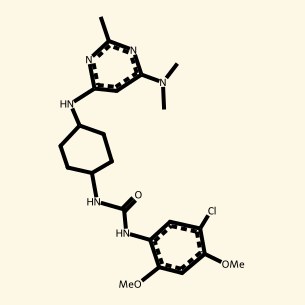 COc1cc(OC)c(NC(=O)NC2CCC(Nc3cc(N(C)C)nc(C)n3)CC2)cc1Cl